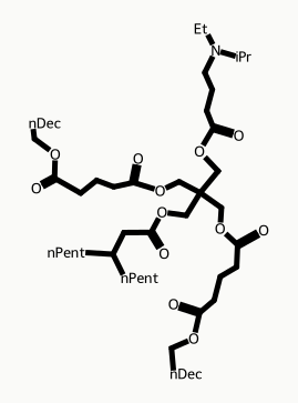 CCCCCCCCCCCOC(=O)CCCC(=O)OCC(COC(=O)CCCC(=O)OCCCCCCCCCCC)(COC(=O)CCCN(CC)C(C)C)COC(=O)CC(CCCCC)CCCCC